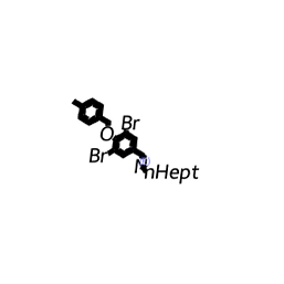 CCCCCCC/N=C/c1cc(Br)c(OCc2ccc(C)cc2)c(Br)c1